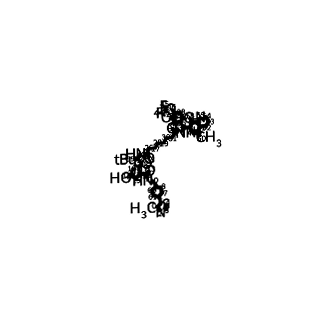 Cc1ncsc1-c1ccc(CNC(=O)[C@H]2C[C@@H](O)CN2C(=O)C(NC(=O)CCCCCCC(=O)NC(c2ccc3c(c2)OC(F)(F)O3)c2cc(C)c3cccnc3c2O)C(C)(C)C)cc1